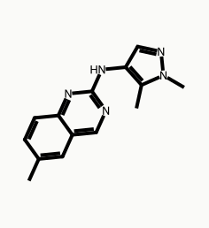 Cc1ccc2nc(Nc3cnn(C)c3C)ncc2c1